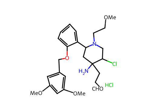 COCCN1CC(Cl)C(N)(CCC=O)CC1c1ccccc1OCc1cc(OC)cc(OC)c1.Cl